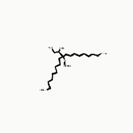 CCCCCCCCCCCCCCCCCCC(CCCCCCCCCCCCCCCCCC)(OCCCCC)C(O)CO